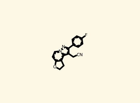 N#CCc1c(-c2ccc(F)cc2)nn2ccc3c(c12)CCO3